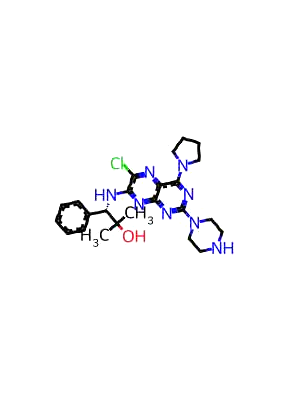 CC(C)(O)[C@@H](Nc1nc2nc(N3CCNCC3)nc(N3CCCC3)c2nc1Cl)c1ccccc1